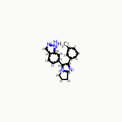 Cc1cccc(-c2nc3n(c2-c2ccc4cn[nH]c4c2)CCC3)c1